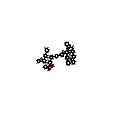 CC1(C)c2cc3ccccc3cc2N2c3cc4oc5cc(-c6ccc(-c7ccc(N8B9c%10cccc%11c%10N(c%10ccccc%10C%11%10c%11ccccc%11-c%11ccccc%11%10)c%10cc%11c(oc%12ccccc%12%11)c(c%109)-c9ccc(-c%10ccccc%10)cc98)cc7)cc6)ccc5c4c4c3B(c3cccc1c32)N(c1cccc2c1C(C)(C)c1ccccc1-2)c1cc(-c2ccccc2)ccc1-4